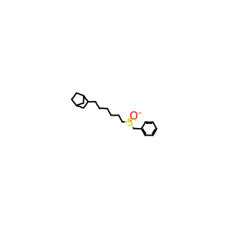 [O-][S+](CCCCCCC1CC2CCC1C2)Cc1ccccc1